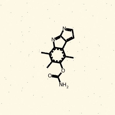 Cc1c(C)c(OC(N)=O)c(C)c2c1N=C1N=CC=C12